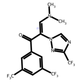 CN(C)/C=C(/C(=O)c1cc(C(F)(F)F)cc(C(F)(F)F)c1)n1cnc(C(F)(F)F)n1